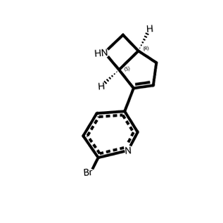 Brc1ccc(C2=CC[C@@H]3CN[C@H]23)cn1